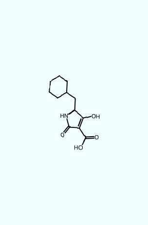 O=C(O)C1=C(O)C(CC2CCCCC2)NC1=O